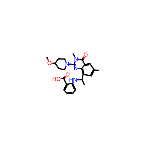 COC1CCN(c2nc3c(C(C)Nc4ccccc4C(=O)O)cc(C)cc3c(=O)n2C)CC1